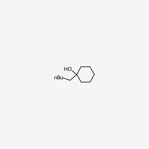 CCCCCC1(O)CCCCC1